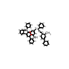 CC1C=C(c2ccccc2)C=CC1/C=N/[C@H](Cc1cccc(Nc2ccccc2-c2ccc3c(c2)c2ccccc2n3-c2ccccc2)c1)c1ccccc1